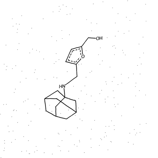 OCc1ccc(CNC23CC4CC(CC(C4)C2)C3)o1